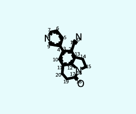 N#Cc1c(-c2cccnc2)cc2c3c1CCN3C(=O)CC2